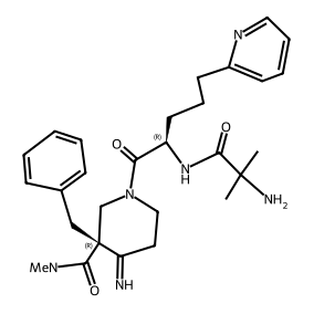 CNC(=O)[C@]1(Cc2ccccc2)CN(C(=O)[C@@H](CCCc2ccccn2)NC(=O)C(C)(C)N)CCC1=N